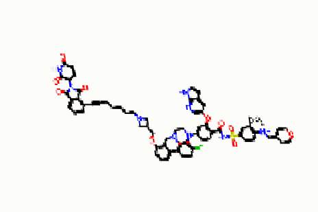 O=C1CCC(N2C(=O)c3cccc(C#CCCCCCN4CC(COc5cccc(-c6ccc(Cl)cc6)c5CN5CCN(c6ccc(C(=O)NS(=O)(=O)c7ccc(NCC8CCOCC8)c([N+](=O)[O-])c7)c(Oc7cnc8[nH]ccc8c7)c6)CC5)C4)c3C2=O)C(=O)N1